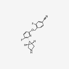 N#Cc1ccc(COc2ccc(F)c([C@@H]3[C@@H]4CNC[C@@H]43)n2)c(F)c1